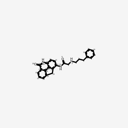 O=C(CNCCCc1ccccc1)Nc1ccc2[nH]c(=O)c3cccc4c3c2c1C4